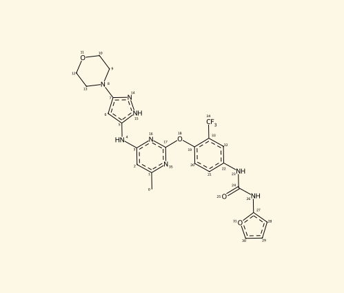 Cc1cc(Nc2cc(N3CCOCC3)n[nH]2)nc(Oc2ccc(NC(=O)Nc3ccco3)cc2C(F)(F)F)n1